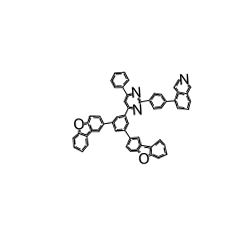 c1ccc(-c2cc(-c3cc(-c4ccc5oc6ccccc6c5c4)cc(-c4ccc5oc6ccccc6c5c4)c3)nc(-c3ccc(-c4cccc5cnccc45)cc3)n2)cc1